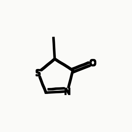 CC1SC=NC1=O